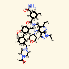 CCc1nc2c(cnn2CC)c(NC2CCOCC2)c1CN(Cc1ccc(OC)c(-c2cccc(CN3CCN(C(C)=O)CC3)c2)c1)C(=O)c1cc(C)cc(C(N)=O)c1